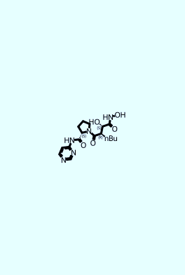 CCCC[C@@H](C(=O)N1CCC[C@H]1C(=O)Nc1ccncn1)[C@H](O)C(=O)NO